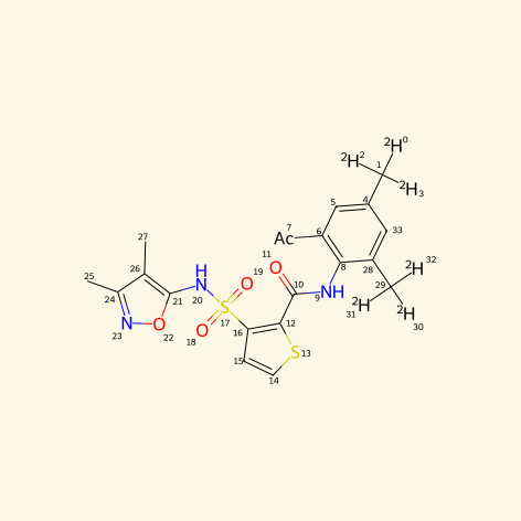 [2H]C([2H])([2H])c1cc(C(C)=O)c(NC(=O)c2sccc2S(=O)(=O)Nc2onc(C)c2C)c(C([2H])([2H])[2H])c1